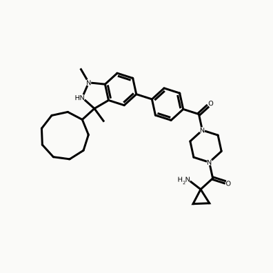 CN1NC(C)(C2CCCCCCCC2)c2cc(-c3ccc(C(=O)N4CCN(C(=O)C5(N)CC5)CC4)cc3)ccc21